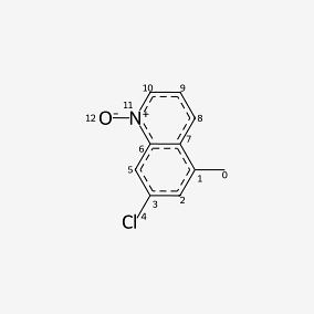 Cc1cc(Cl)cc2c1ccc[n+]2[O-]